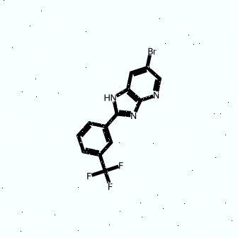 FC(F)(F)c1cccc(-c2nc3ncc(Br)cc3[nH]2)c1